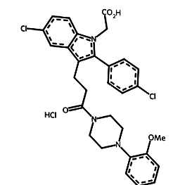 COc1ccccc1N1CCN(C(=O)CCc2c(-c3ccc(Cl)cc3)n(CC(=O)O)c3ccc(Cl)cc23)CC1.Cl